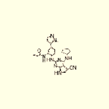 C=CC(=O)Nc1cc(-c2ccnn2C)ccc1Nc1nc(NC2CCCC2)c2c(C#N)c[nH]c2n1